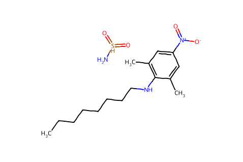 CCCCCCCCNc1c(C)cc([N+](=O)[O-])cc1C.N[SH](=O)=O